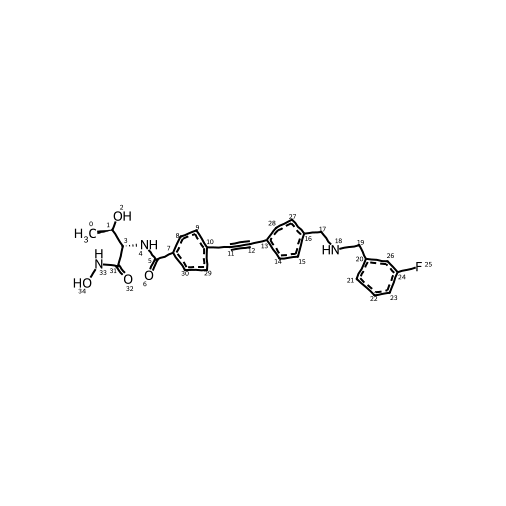 C[C@@H](O)[C@H](NC(=O)c1ccc(C#Cc2ccc(CNCc3cccc(F)c3)cc2)cc1)C(=O)NO